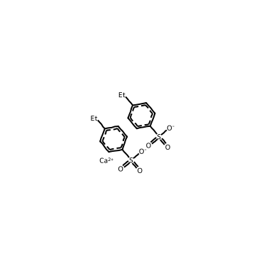 CCc1ccc(S(=O)(=O)[O-])cc1.CCc1ccc(S(=O)(=O)[O-])cc1.[Ca+2]